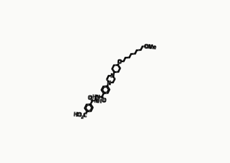 COCCCCCCCCOC1CCC(N2CCN(c3ccc(C(=O)NNC(=O)c4ccc(C(=O)O)cc4)cc3)CC2)CC1